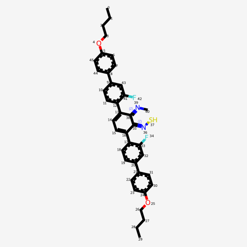 CCCCOc1ccc(-c2ccc(C3=CC=C(c4ccc(-c5ccc(OCCCC)cc5)cc4F)C(=N/S)/C3=N\C)c(F)c2)cc1